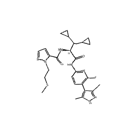 CSCCn1nccc1C(=O)N[C@H](C(=O)Nc1ccc(-c2c(C)n[nH]c2C)c(F)n1)C(C1CC1)C1CC1